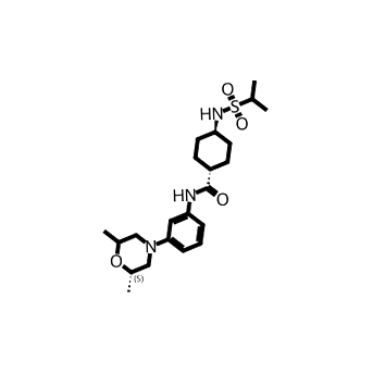 CC1CN(c2cccc(NC(=O)[C@H]3CC[C@H](NS(=O)(=O)C(C)C)CC3)c2)C[C@H](C)O1